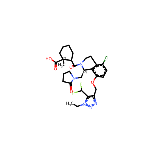 CCn1nnc(COc2ccc(Cl)c3c2[C@@H](CN2CCCC2=O)N(C(=O)C2CCCC[C@@]2(C)C(=O)O)CC3)c1C(F)F